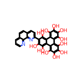 Oc1c(O)c(O)c2c(c1O)c1c(O)c(O)c(O)c(O)c1c1c(O)c(-c3ccc4ccc5cccnc5c4n3)c(O)c(O)c21